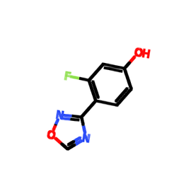 Oc1ccc(-c2ncon2)c(F)c1